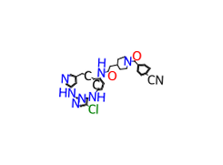 N#Cc1ccc(C(=O)N2CCC(CC(=O)Nc3ccc4cc3CCc3cncc(c3)Nc3ncc(Cl)c(n3)N4)CC2)cc1